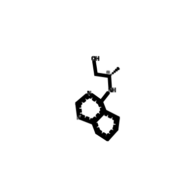 C[C@@H](CO)Nc1ncnc2ccccc12